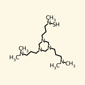 CN(C)CCCN1CN(CCCN(C)C)CN(CCCN(C)S)C1